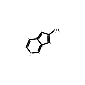 ClC(Cl)(Cl)c1cc2ccocc-2c1